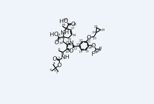 CC(NC(=O)OC(C)(C)C)c1oc(-c2ccc(OC(F)F)c(OCC3CC3)c2)nc1C[C@]1(C(=O)O)CC=CC(C)(C(=O)O)N1